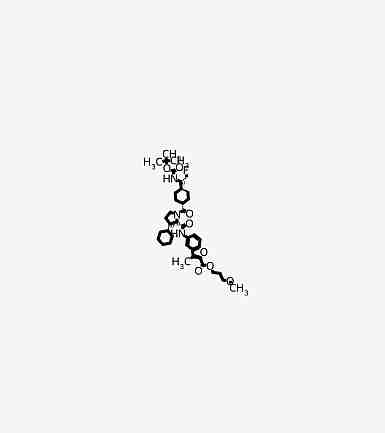 COCCCOC(=O)c1oc2ccc(NC(=O)[C@@H]3[C@H](C4CCCCC4)CCN3C(=O)[C@H]3CC[C@H]([C@@H](CF)NC(=O)OC(C)(C)C)CC3)cc2c1C